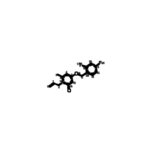 C=CCn1c(C)cc(OCc2ccc(F)cc2F)cc1=O